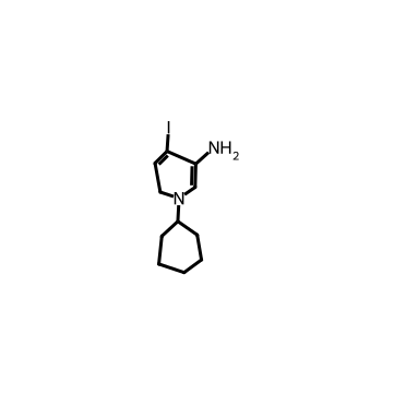 NC1=CN(C2CCCCC2)CC=C1I